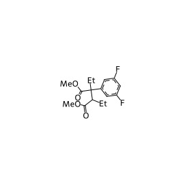 CCC(C(=O)OC)C(CC)(C(=O)OC)c1cc(F)cc(F)c1